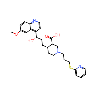 COc1ccc2nccc([C@@H](O)CC[C@@H]3CCN(CCCSc4ccccn4)C[C@@H]3C(=O)O)c2c1